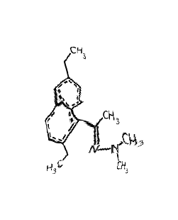 CCc1ccc2c(/C(C)=N/N(C)C)c(CC)ccc2c1